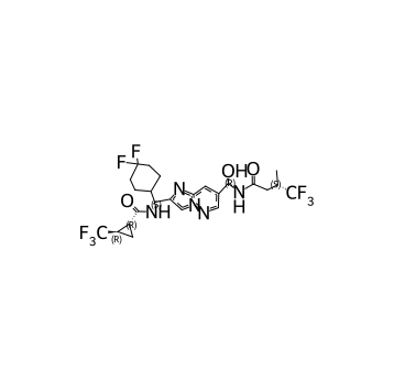 C[C@@H](CC(=O)N[C@H](O)c1cnn2cc([C@@H](NC(=O)[C@@H]3C[C@H]3C(F)(F)F)C3CCC(F)(F)CC3)nc2c1)C(F)(F)F